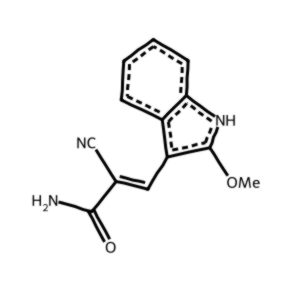 COc1[nH]c2ccccc2c1C=C(C#N)C(N)=O